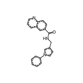 O=C(NCc1ccn(-c2ccccc2)c1)c1ccc2ncccc2c1